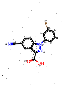 N#Cc1ccc2c(c1)c(C(=O)O)nn2-c1cccc(Br)c1